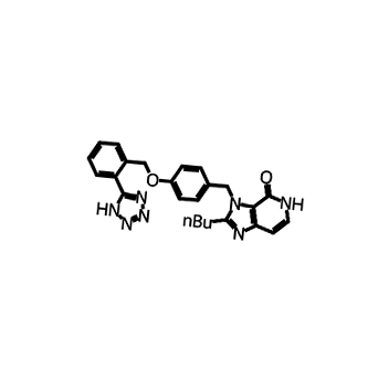 CCCCc1nc2cc[nH]c(=O)c2n1Cc1ccc(OCc2ccccc2-c2nnn[nH]2)cc1